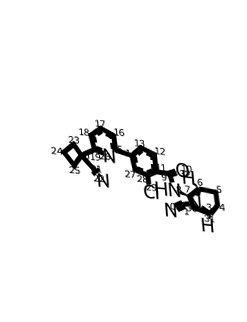 N#CN1[C@H]2CC[C@@H]1[C@H](NC(=O)c1ccc(-c3cccc(C4(C#N)CCC4)n3)cc1Cl)C2